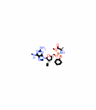 C#C[C@H]1C[C@@H](CO[P@@](=S)(N[C@H](C)C(=O)OC)Oc2ccccc2)O[C@H]1n1cnc2c(NC)nc(N)nc21